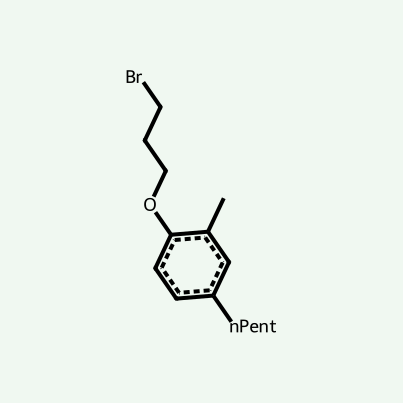 CCCCCc1ccc(OCCCBr)c(C)c1